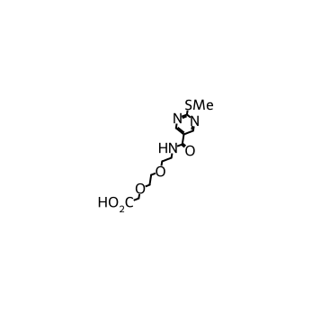 CSc1ncc(C(=O)NCCOCCOCC(=O)O)cn1